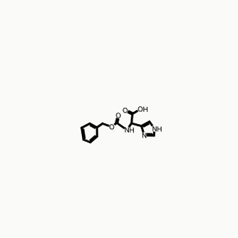 O=C(NC(C(=O)O)c1c[nH]cn1)OCc1ccccc1